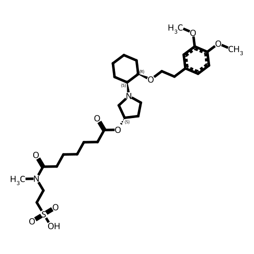 COc1ccc(CCO[C@@H]2CCCC[C@@H]2N2CC[C@H](OC(=O)CCCCCC(=O)N(C)CCS(=O)(=O)O)C2)cc1OC